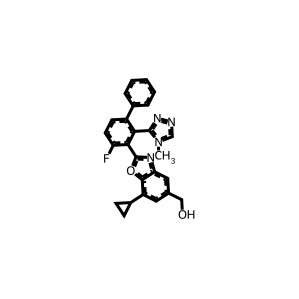 Cn1cnnc1-c1c(-c2ccccc2)ccc(F)c1-c1nc2cc(CO)cc(C3CC3)c2o1